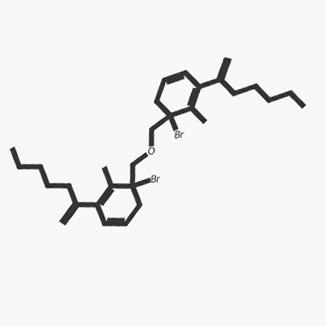 C=C(CCCCC)C1=C(C)C(Br)(COCC2(Br)CC=CC(C(=C)CCCCC)=C2C)CC=C1